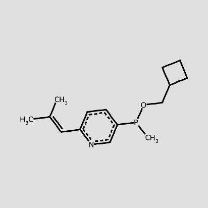 CC(C)=Cc1ccc(P(C)OCC2CCC2)cn1